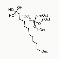 CCCCCCCCCCCCCCCCCCCC[PH](O)(O)O.CCCCCCCC[O][Ti]([O]CCCCCCCC)([O]CCCCCCCC)[O]CCCCCCCC